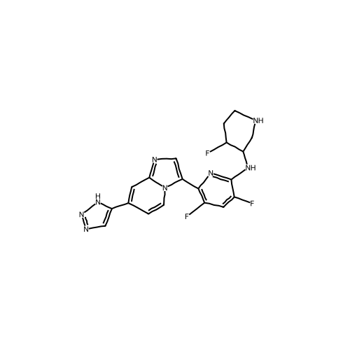 Fc1cc(F)c(-c2cnc3cc(-c4cnn[nH]4)ccn23)nc1NC1CNCCC1F